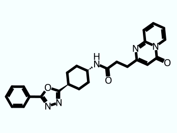 O=C(CCc1cc(=O)n2ccccc2n1)N[C@H]1CC[C@H](c2nnc(-c3ccccc3)o2)CC1